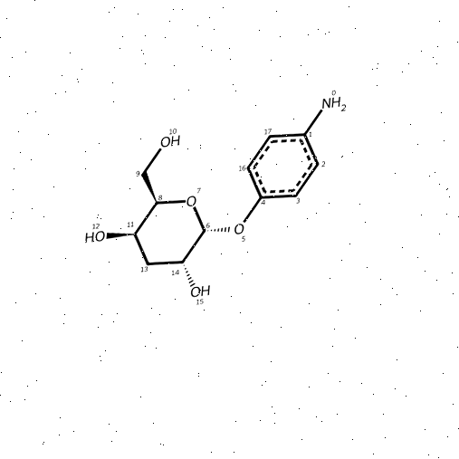 Nc1ccc(O[C@H]2O[C@H](CO)[C@H](O)C[C@H]2O)cc1